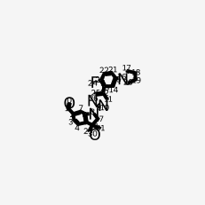 O=Cc1ccc2c(c1)N(c1ncc(-c3cc(N4CCCC4)ccc3F)cn1)CC21COC1